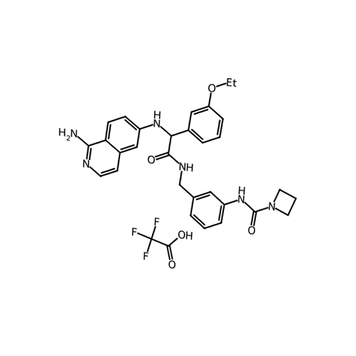 CCOc1cccc(C(Nc2ccc3c(N)nccc3c2)C(=O)NCc2cccc(NC(=O)N3CCC3)c2)c1.O=C(O)C(F)(F)F